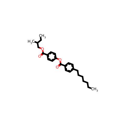 CCCCCCCc1ccc(C(=O)Oc2ccc(C(=O)OCC(C)CC)cc2)cc1